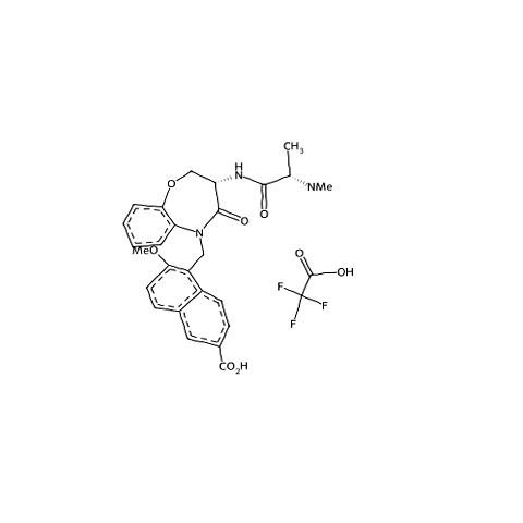 CN[C@@H](C)C(=O)N[C@H]1COc2ccccc2N(Cc2c(OC)ccc3cc(C(=O)O)ccc23)C1=O.O=C(O)C(F)(F)F